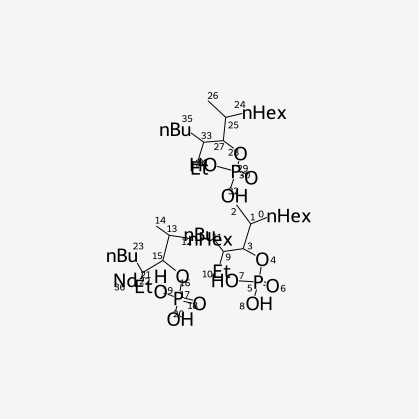 CCCCCCC(C)C(OP(=O)(O)O)C(CC)CCCC.CCCCCCC(C)C(OP(=O)(O)O)C(CC)CCCC.CCCCCCC(C)C(OP(=O)(O)O)C(CC)CCCC.[Nd]